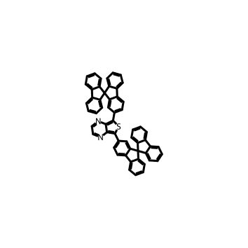 c1ccc2c(c1)-c1ccccc1C21c2ccccc2-c2ccc(-c3sc(-c4ccc5c(c4)C4(c6ccccc6-c6ccccc64)c4ccccc4-5)c4nccnc34)cc21